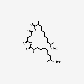 CCCCCCC(C)CCCCCCC(C)C(=O)OC(=O)CCC(=O)OC(=O)C(C)CCCCCCC(C)CCCCCC